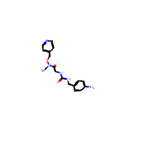 CCN(OCc1ccncc1)C(=O)CNC(=O)NCc1ccc(N)cc1